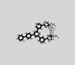 CC1(C)COC(c2cncc(-c3cc(-c4ccc(-c5ccccc5)cc4)cc(-c4cncc(C5=NC(C)(C)CO5)c4)n3)c2)=N1